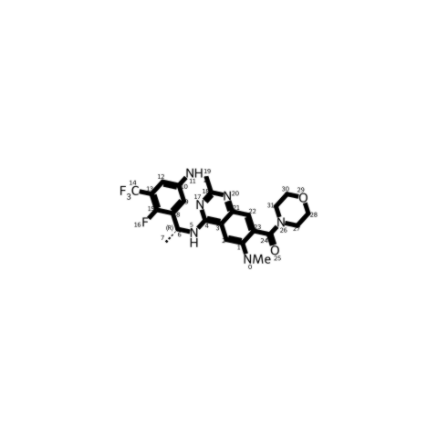 CNc1cc2c(N[C@H](C)c3cc(N)cc(C(F)(F)F)c3F)nc(C)nc2cc1C(=O)N1CCOCC1